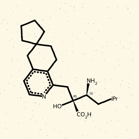 CC(C)C[C@H](N)[C@](O)(Cc1nccc2c1CCC1(CCCC1)C2)C(=O)O